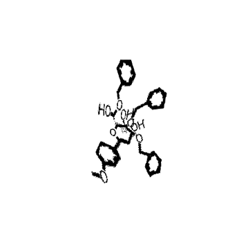 COc1ccc(C2=C[C@](O)(OCc3ccccc3)[C@@](O)(OCc3ccccc3)[C@@H](C(O)OCc3ccccc3)O2)cc1